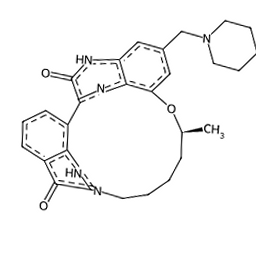 C[C@H]1CCCCn2[nH]c3c(cccc3c2=O)-c2nc3c(cc(CN4CCCCC4)cc3[nH]c2=O)O1